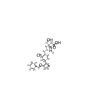 NC(CO)(CCCc1ccc(-c2sccc2OCc2ccccc2)cc1Cl)CC(=O)O